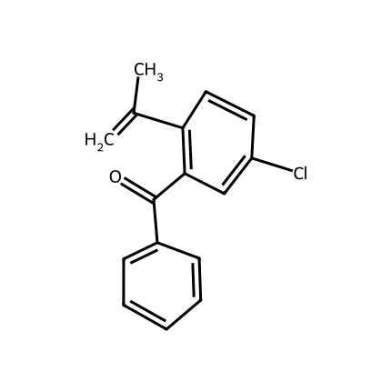 C=C(C)c1ccc(Cl)cc1C(=O)c1ccccc1